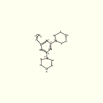 C=Cc1nc(N2CCOCC2)nc(N2CCOCC2)n1